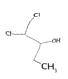 CCC(O)C(Cl)Cl